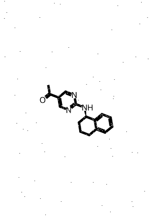 CC(=O)c1cnc(N[C@@H]2CCCc3ccccc32)nc1